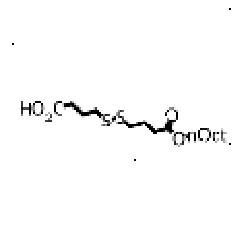 CCCCCCCCOC(=O)CCCSSCCCC(=O)O